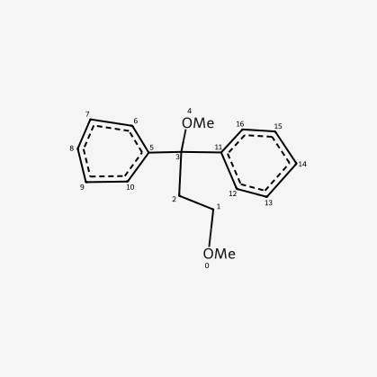 COCCC(OC)(c1ccccc1)c1ccccc1